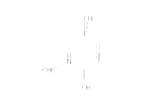 C=C/C=C\C(C)NC=O